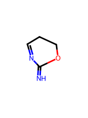 N=C1N=CCCO1